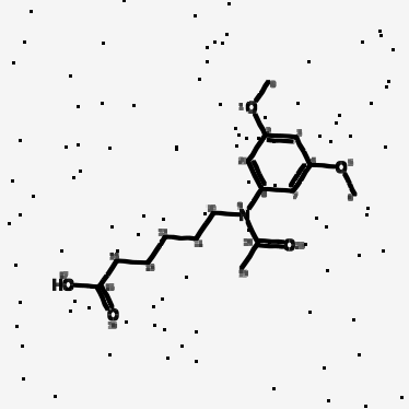 COc1cc(OC)cc(N(CCCCCC(=O)O)C(C)=O)c1